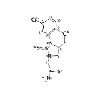 NC(=S)CN1CC2COc3ccc(Cl)cc3N2C1=S